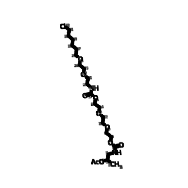 CC(=O)OC(C)CNC(=O)OCCOCCOCCOC(=O)NCCOCCOCCCCCCCl